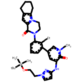 CCc1c(-c2cc(Nc3ccn(CCO[Si](C)(C)C(C)(C)C)n3)c(=O)n(C)c2)cccc1N1CCn2c(cc3c2CCCC3)C1=O